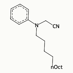 CCCCCCCCCCCCN(CC#N)c1ccccc1